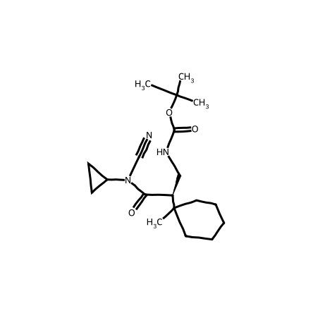 CC(C)(C)OC(=O)NC[C@H](C(=O)N(C#N)C1CC1)C1(C)CCCCC1